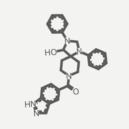 O=C(c1ccc2[nH]ncc2c1)N1CCC2(CC1)C(O)N(c1ccccc1)CN2c1ccccc1